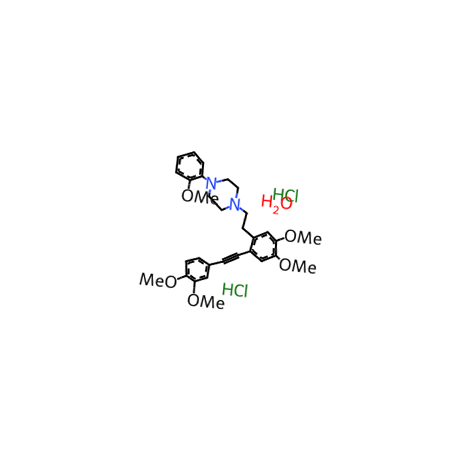 COc1ccc(C#Cc2cc(OC)c(OC)cc2CCN2CCN(c3ccccc3OC)CC2)cc1OC.Cl.Cl.O